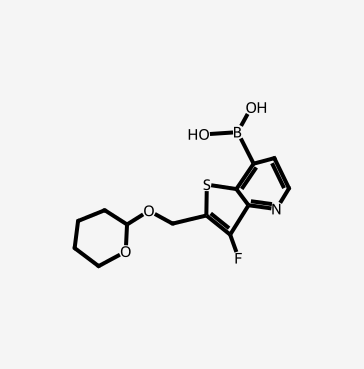 OB(O)c1ccnc2c(F)c(COC3CCCCO3)sc12